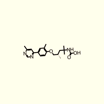 Cc1cc(-c2ccc(OC[C@@H](C)CC(C)(C)NC(=O)O)c(C)c2)ncn1